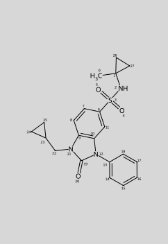 CC1(NS(=O)(=O)c2ccc3c(c2)n(-c2ccccc2)c(=O)n3CC2CC2)CC1